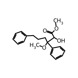 COC(=O)C(O)C(CCCc1ccccc1)(OC)c1ccccc1